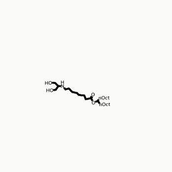 CCCCCCCCC(CCCCCCCC)OC(=O)CCCCCCCNC(CO)CO